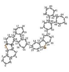 c1ccc2c(c1)ccc1c2sc2ccc3c4ccccc4c4cc(-c5ccc6sc7ccc(-c8ccc9c%10ccccc%10c%10ccccc%10c9c8)cc7c6c5)ccc4c3c21